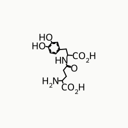 NC(CCC(=O)NC(Cc1ccc(O)c(O)c1)C(=O)O)C(=O)O